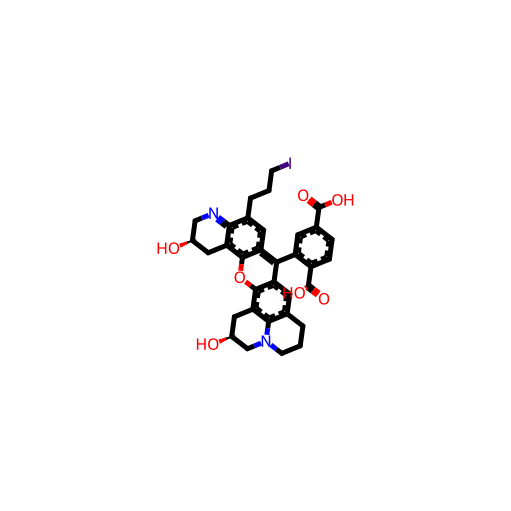 O=C(O)c1ccc(C(=O)O)c(C2=c3cc(CCCI)c4c(c3Oc3c2cc2c5c3C[C@H](O)CN5CCC2)C[C@@H](O)CN=4)c1